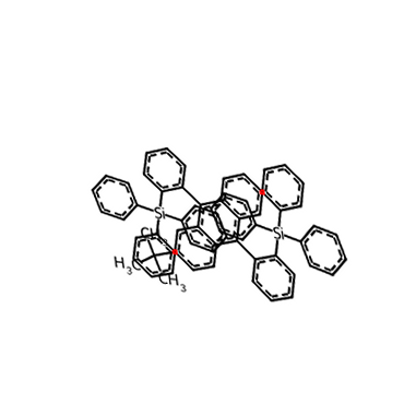 CC(C)(C)c1ccc2c(-c3ccccc3[Si](c3ccccc3)(c3ccccc3)c3ccccc3)c3ccccc3c(-c3ccccc3[Si](c3ccccc3)(c3ccccc3)c3ccccc3)c2c1